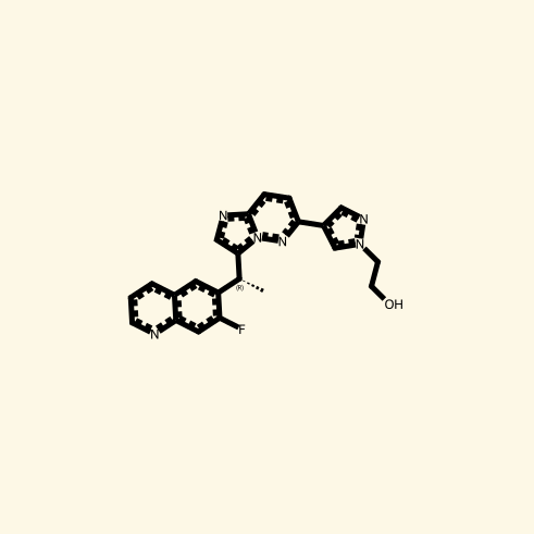 C[C@H](c1cc2cccnc2cc1F)c1cnc2ccc(-c3cnn(CCO)c3)nn12